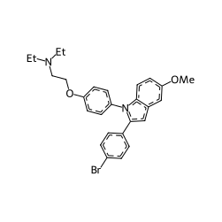 CCN(CC)CCOc1ccc(-n2c(-c3ccc(Br)cc3)cc3cc(OC)ccc32)cc1